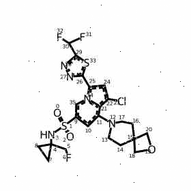 O=S(=O)(NC1(CF)CC1)c1cc(N2CCC3(CC2)COC3)c2c(Cl)cc(-c3nnc(C(F)F)s3)n2c1